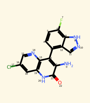 Nc1c(-c2ccc(F)c3[nH]ncc23)c2ncc(Cl)cc2[nH]c1=O